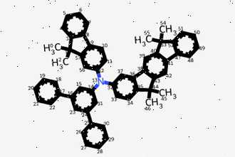 CC1(C)c2ccccc2-c2ccc(N(c3cc(-c4ccccc4)cc(-c4ccccc4)c3)c3ccc4c(c3)-c3cc5c(cc3C4(C)C)-c3ccccc3C5(C)C)cc21